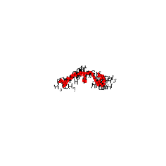 C=C(CCC1=C(CN2CCN(c3ccc(C(=O)NS(=O)(=O)c4ccc(N[C@H](CCN5CC[C@@H](C(=O)NCCCCCCC(=O)N[C@H](C(=O)N6C[C@H](O)C[C@H]6C(=O)N[C@@H](C)c6ccc(-c7scnc7C)cc6)C(C)(C)C)C5)CSc5ccccc5)c(S(=O)(=O)C(F)(F)F)c4)cc3)CC2)CCC(C)(C)C1)C(F)F